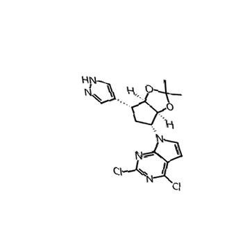 CC1(C)O[C@@H]2[C@H](O1)[C@@H](c1cn[nH]c1)C[C@H]2n1ccc2c(Cl)nc(Cl)nc21